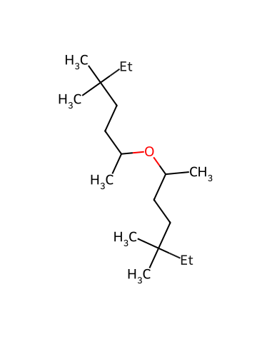 CCC(C)(C)CCC(C)OC(C)CCC(C)(C)CC